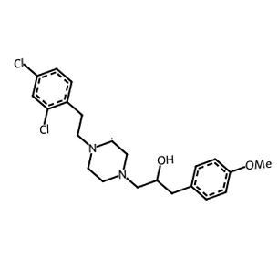 COc1ccc(CC(O)CN2C[CH]N(CCc3ccc(Cl)cc3Cl)CC2)cc1